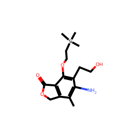 Cc1c(N)c(CCO)c(OCC[Si](C)(C)C)c2c1COC2=O